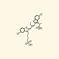 CCC(/C=C1\Sc2ccc(Cl)cc2N1CCCCS(=O)(=O)O)=C\c1sc2ccc(Cl)cc2[n+]1C(C)[SH](=O)=O